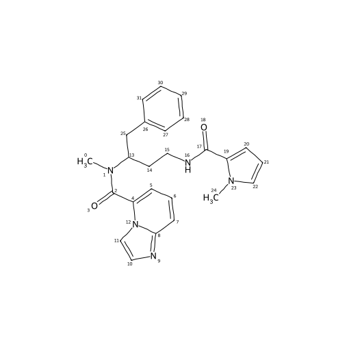 CN(C(=O)c1cccc2nccn12)C(CCNC(=O)c1cccn1C)Cc1ccccc1